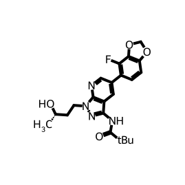 C[C@H](O)CCn1nc(NC(=O)C(C)(C)C)c2cc(-c3ccc4c(c3F)OCO4)cnc21